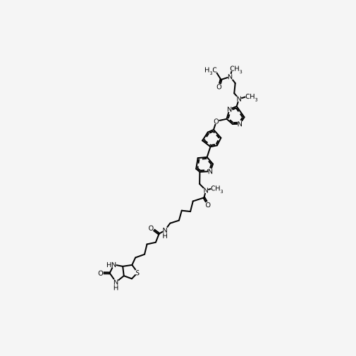 CC(=O)N(C)CCN(C)c1cncc(Oc2ccc(-c3ccc(CN(C)C(=O)CCCCCNC(=O)CCCCC4SCC5NC(=O)NC54)nc3)cc2)n1